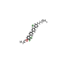 CCCCCc1ccc(-c2ccc(-c3ccc(-c4ccc(OCC)c(F)c4F)cc3)cc2)c(F)c1